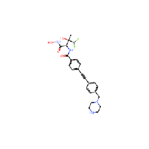 CC(O)(C(F)F)C(NC(=O)c1ccc(C#Cc2ccc(CN3CCNCC3)cc2)cc1)C(=O)NO